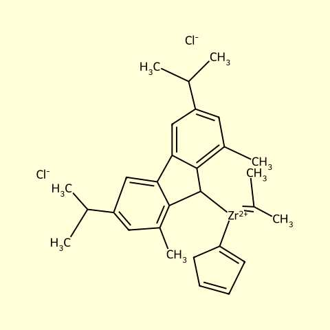 C[C](C)=[Zr+2]([C]1=CC=CC1)[CH]1c2c(C)cc(C(C)C)cc2-c2cc(C(C)C)cc(C)c21.[Cl-].[Cl-]